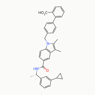 Cc1c(C)n(Cc2ccc(-c3ccccc3C(=O)O)cc2)c2ccc(C(=O)N[C@@H](C)c3cccc(C4CC4)c3)cc12